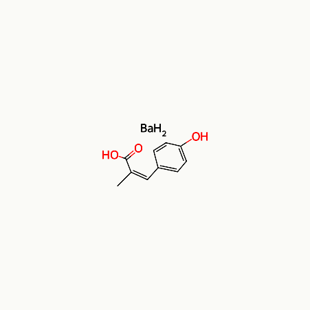 CC(=Cc1ccc(O)cc1)C(=O)O.[BaH2]